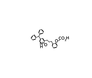 O=C(O)COc1ccccc1CCCc1cc(C(c2ccccc2)c2ccccc2)c[nH]c1=O